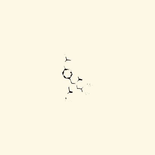 CCCCOC(=O)C[C@@H](c1ccc(OC(F)F)nc1)N(CC(OC)OC)C(=O)Cl